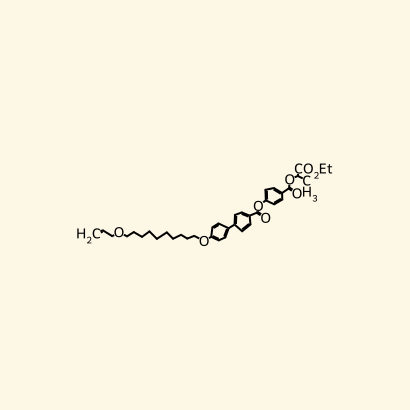 C=CCOCCCCCCCCCCOc1ccc(-c2ccc(C(=O)Oc3ccc(C(=O)OC(C)C(=O)OCC)cc3)cc2)cc1